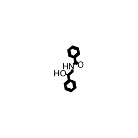 O=C(NC[C@H](O)c1ccccc1)c1ccccc1